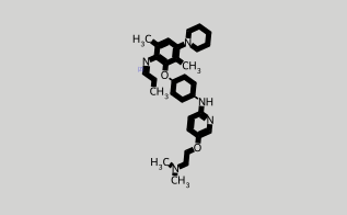 CC/C=N\c1c(C)cc(N2CCCCC2)c(C)c1O[C@H]1CC[C@@H](Nc2ccc(OCCN(C)C)cn2)CC1